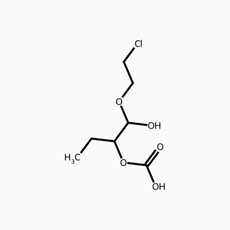 CCC(OC(=O)O)C(O)OCCCl